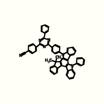 CC1(C)c2ccccc2-c2c1c1c(c3ccccc3n1-c1ccc(-c3nc(-c4ccccc4)nc(-c4ccc(C#N)cc4)n3)cc1)c1c2c2ccccc2n1-c1ccccc1